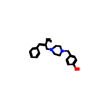 CC(=Cc1ccccc1)CN1CCN(Cc2ccc(O)cc2)CC1